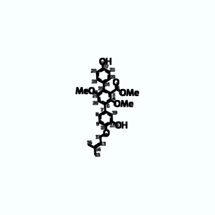 COC(=O)c1c(OC)c(-c2ccc(OCC=C(C)C)c(O)c2)cc(OC)c1-c1ccc(O)cc1